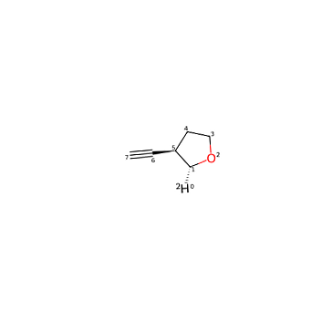 [2H][C@H]1OCC[C@@H]1C#C